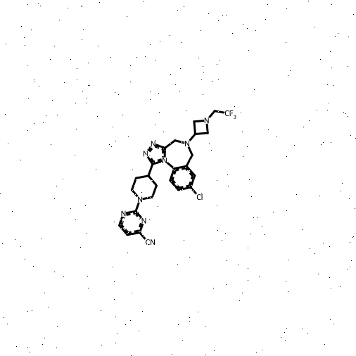 N#Cc1ccnc(N2CCC(c3nnc4n3-c3ccc(Cl)cc3CN(C3CN(CC(F)(F)F)C3)C4)CC2)n1